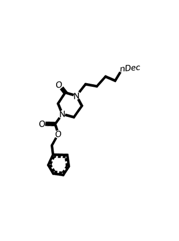 CCCCCCCCCCCCCCN1CCN(C(=O)OCc2ccccc2)CC1=O